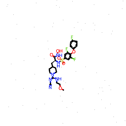 COCCN/C(=N\C#N)N1CCC(C[C@H](NS(=O)(=O)c2cc(F)c(Oc3ccc(F)cc3)c(F)c2)C(=O)NO)CC1